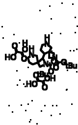 CC(C)(C)OC(=O)N1CC2(CNCCC2C2N(C(=O)OC(C)(C)C)CC23CCCNC3)C1.O=C(O)C(=O)O.O=C(O)C(=O)O